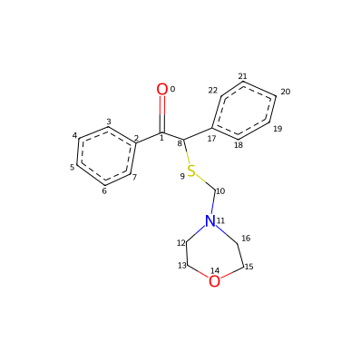 O=C(c1ccccc1)C(SCN1CCOCC1)c1ccccc1